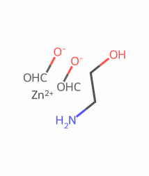 NCCO.O=C[O-].O=C[O-].[Zn+2]